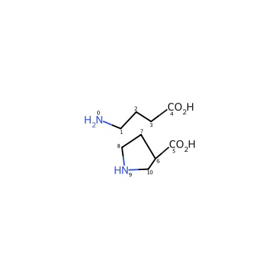 NCCCC(=O)O.O=C(O)C1CCNC1